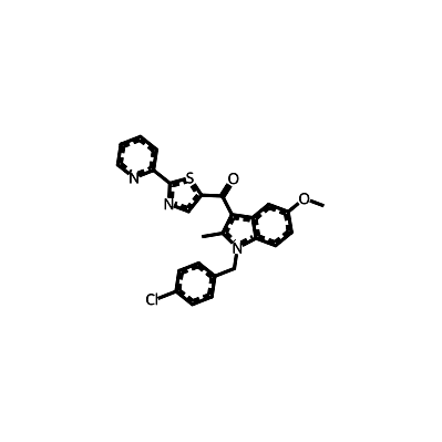 COc1ccc2c(c1)c(C(=O)c1cnc(-c3ccccn3)s1)c(C)n2Cc1ccc(Cl)cc1